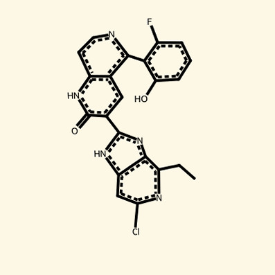 CCc1nc(Cl)cc2[nH]c(-c3cc4c(-c5c(O)cccc5F)nccc4[nH]c3=O)nc12